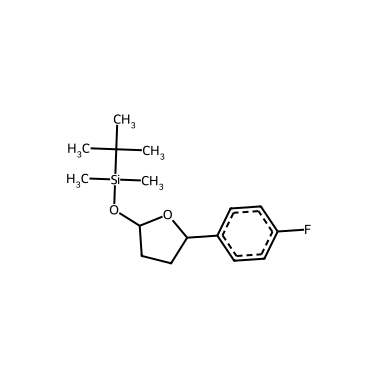 CC(C)(C)[Si](C)(C)OC1CCC(c2ccc(F)cc2)O1